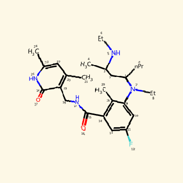 CCCC(CC(C)NCC)N(CC)c1cc(F)cc(C(=O)NCc2c(C)cc(C)[nH]c2=O)c1C